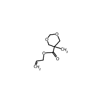 C=CCOC(=O)C1(C)COCOC1